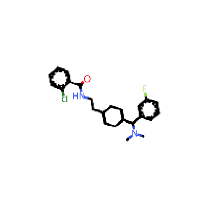 CN(C)C(c1cccc(F)c1)C1CCC(CCNC(=O)c2ccccc2Cl)CC1